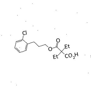 CCC(CC)(C(=O)O)C(=O)OCCCc1ccccc1Cl